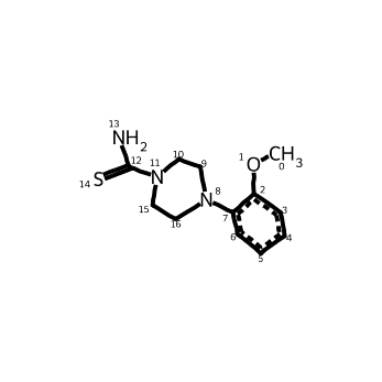 COc1ccccc1N1CCN(C(N)=S)CC1